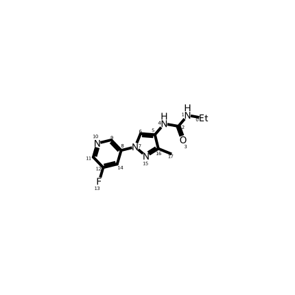 CCNC(=O)Nc1cn(-c2cncc(F)c2)nc1C